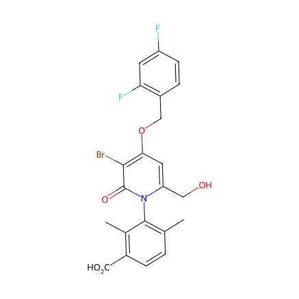 Cc1ccc(C(=O)O)c(C)c1-n1c(CO)cc(OCc2ccc(F)cc2F)c(Br)c1=O